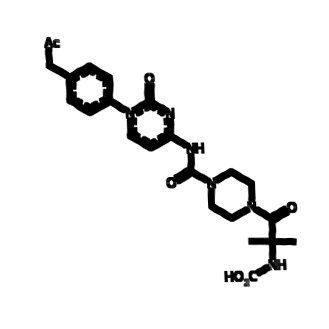 CC(=O)Cc1ccc(-n2ccc(NC(=O)N3CCN(C(=O)C(C)(C)NC(=O)O)CC3)nc2=O)cc1